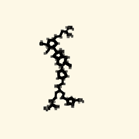 Cc1cc(OC[C@@H](CCNC(=N)N)NCc2ccc(-n3cc4cc(-c5cc(CCC[C@H](C)N)cc(Cl)c5F)[nH]c4nc3=O)cc2)no1